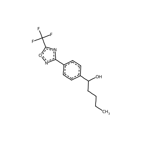 CCCCC(O)c1ccc(-c2noc(C(F)(F)F)n2)cc1